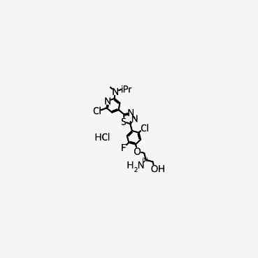 CC(C)N(C)c1cc(-c2nnc(-c3cc(F)c(OC[C@@H](N)CO)cc3Cl)s2)cc(Cl)n1.Cl